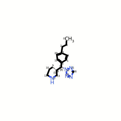 CCCc1ccc([C@@H]([C@H]2CCCNC2)n2ncnn2)cc1